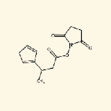 CC(CC(=O)ON1C(=O)CCC1=O)C1=CCC=C1